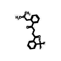 CN(C)Cc1ccccc1C(=O)CCC(=O)c1ccccc1C(F)(F)F